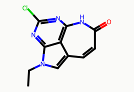 CCn1cc2c3c(nc(Cl)nc31)NC(=O)C=C2